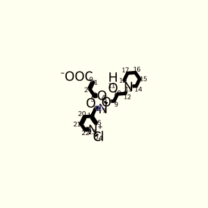 O=C([O-])C=CC(=O)O/C(=N\OCC(O)CN1CCCCC1)c1ccc[n+](Cl)c1